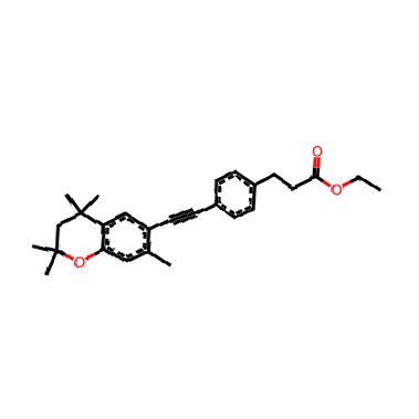 CCOC(=O)CCc1ccc(C#Cc2cc3c(cc2C)OC(C)(C)CC3(C)C)cc1